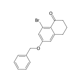 O=C1CCCc2cc(OCc3ccccc3)cc(Br)c21